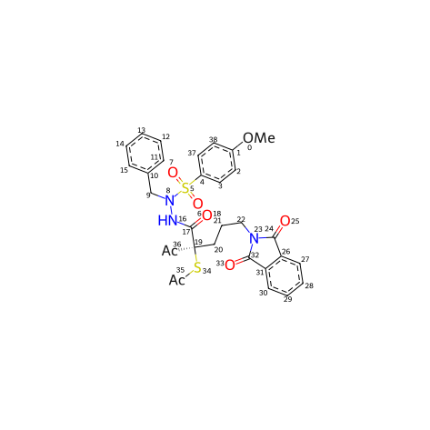 COc1ccc(S(=O)(=O)N(Cc2ccccc2)NC(=O)[C@@](CCCN2C(=O)c3ccccc3C2=O)(SC(C)=O)C(C)=O)cc1